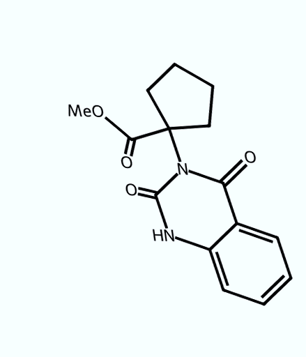 COC(=O)C1(n2c(=O)[nH]c3ccccc3c2=O)CCCC1